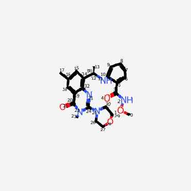 CONC(=O)c1ccccc1N[C@H](C)c1cc(C)cc2c(=O)n(C)c(N3CCOCC3)nc12